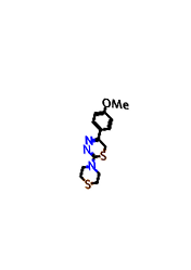 COc1ccc(C2=NN=C(N3CCSCC3)SC2)cc1